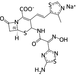 Cc1ncsc1C=CC1=C(C(=O)[O-])N2C(=O)C[C@@H]2SC1NC(=O)C(=NO)c1nsc(N)n1.[Na+]